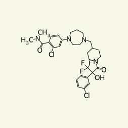 CN(C)C(=O)c1ccc(N2CCCN(CC3CCN(C(=O)C(O)(c4cccc(Cl)c4)C(F)(F)F)CC3)CC2)cc1Cl